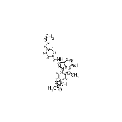 COCCN1CCC(CNc2nn(-c3ccc(NS(C)(=O)=O)cc3OC)c3cc(Cl)ncc23)CC1